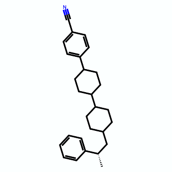 C[C@@H](CC1CCC(C2CCC(c3ccc(C#N)cc3)CC2)CC1)c1ccccc1